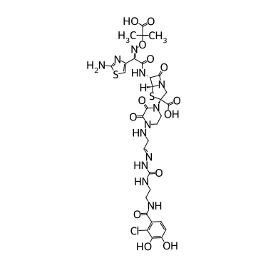 CC(C)(O/N=C(\C(=O)N[C@@H]1C(=O)N2C[C@@](C(=O)O)(N3CCN(NC/C=N/NC(=O)NCCNC(=O)c4ccc(O)c(O)c4Cl)C(=O)C3=O)S[C@H]12)c1csc(N)n1)C(=O)O